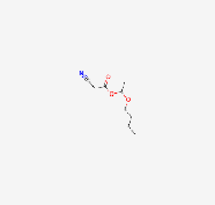 CCCCOC(C)OC(=O)CC#N